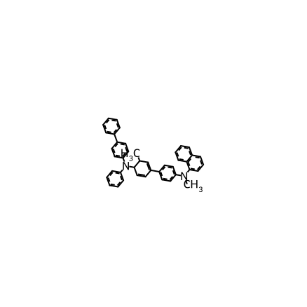 CC1C=C(c2ccc(N(C)c3cccc4ccccc34)cc2)C=CC1N(c1ccccc1)c1ccc(-c2ccccc2)cc1